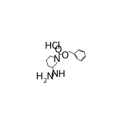 Cl.NNC1CCCN(C(=O)OCc2ccccc2)C1